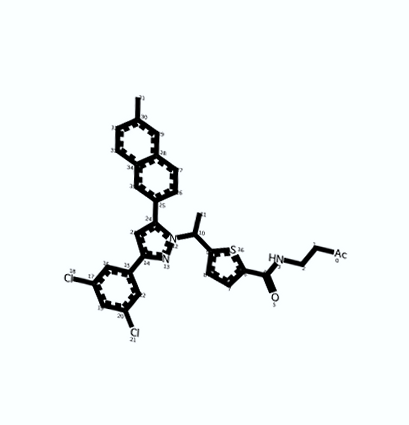 CC(=O)CCNC(=O)c1ccc(C(C)n2nc(-c3cc(Cl)cc(Cl)c3)cc2-c2ccc3cc(C)ccc3c2)s1